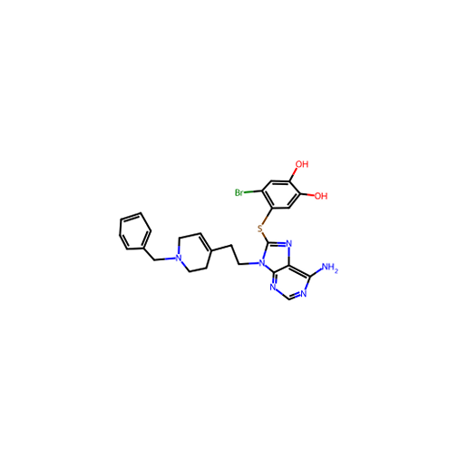 Nc1ncnc2c1nc(Sc1cc(O)c(O)cc1Br)n2CCC1=CCN(Cc2ccccc2)CC1